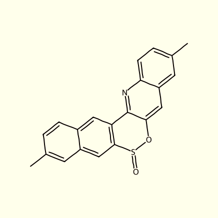 Cc1ccc2cc3c(cc2c1)S(=O)Oc1cc2cc(C)ccc2nc1-3